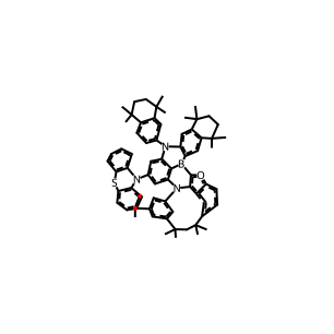 CC(C)(C)c1cc2cc(c1)C(C)(C)CC(C)(C)c1ccc3oc4c(c3c1)N2c1cc(N2c3ccccc3Sc3ccccc32)cc2c1B4c1cc3c(cc1N2c1ccc2c(c1)C(C)(C)CCC2(C)C)C(C)(C)CCC3(C)C